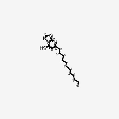 CCCCCCCCCCCCc1cc(S)n2ncnc2n1